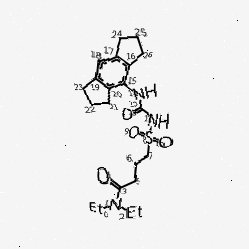 CCN(CC)C(=O)CCCS(=O)(=O)NC(=O)Nc1c2c(cc3c1CCC3)CCC2